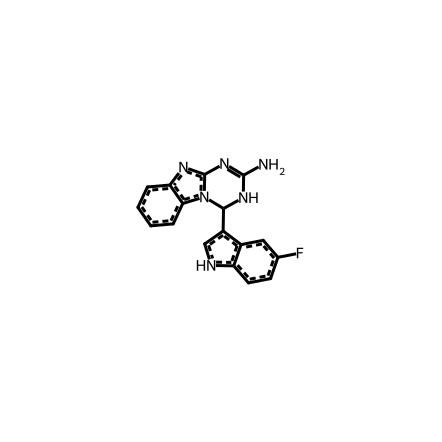 NC1=Nc2nc3ccccc3n2C(c2c[nH]c3ccc(F)cc23)N1